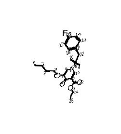 CCCCOc1cn(C(C)(C)Cc2ccc(F)cc2)cc(C(=O)OCC)c1=O